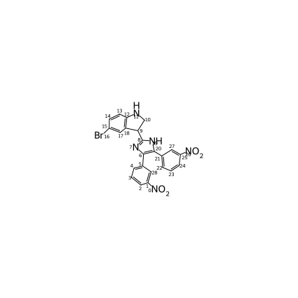 O=[N+]([O-])c1cccc(-c2nc(C3CNc4ccc(Br)cc43)[nH]c2-c2cccc([N+](=O)[O-])c2)c1